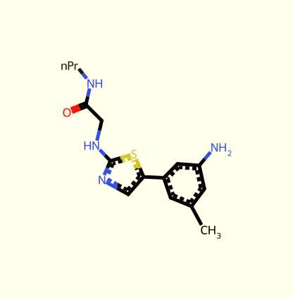 CCCNC(=O)CNc1ncc(-c2cc(C)cc(N)c2)s1